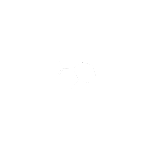 O=C(O)C1CCC[CH]C1O